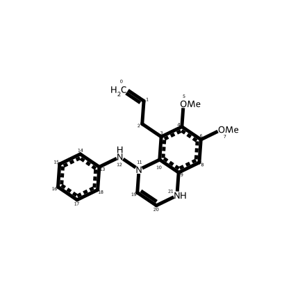 C=CCc1c(OC)c(OC)cc2c1N(Nc1ccccc1)C=CN2